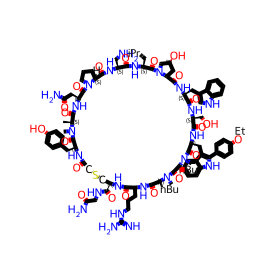 CCCC[C@H]1C(=O)N(C)[C@@H](CCCC)C(=O)NC(CCCNC(=N)N)C(=O)N[C@H](C(=O)NCC(N)=O)CSCC(=O)N[C@@H](Cc2ccc(O)cc2)C(=O)N(C)[C@@H](C)C(=O)N[C@@H](CC(N)=O)C(=O)N2CCC[C@H]2C(=O)N[C@@H](CN)C(=O)N[C@@H](CC(C)C)C(=O)N2C[C@H](O)CC2C(=O)N[C@@H](Cc2c[nH]c3ccccc23)C(=O)N[C@@H](CO)C(=O)N[C@@H](Cc2c(-c3ccc(OCC)cc3)[nH]c3ccccc23)C(=O)N1C